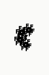 Fc1c(F)c(F)c(P(CCCP(c2c(F)c(F)c(F)c(F)c2F)c2c(F)c(F)c(F)c(F)c2F)c2c(F)c(F)c(F)c(F)c2F)c(F)c1F